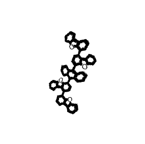 c1ccc2c(c1)oc1c(-c3ccc(-c4c5ccccc5c(-c5ccc(-c6cccc7c6oc6ccccc67)c6c5oc5ccccc56)c5ccccc45)c4oc5ccccc5c34)cccc12